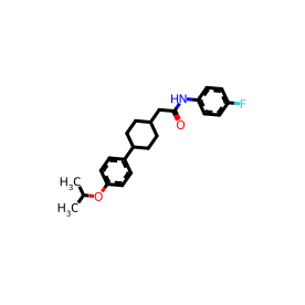 CC(C)Oc1ccc(C2CCC(CC(=O)Nc3ccc(F)cc3)CC2)cc1